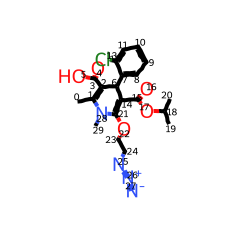 CC1=C(C(=O)O)C(c2ccccc2Cl)C(C(=O)OC(C)C)=C(OCCN=[N+]=[N-])N1C